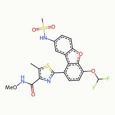 CONC(=O)c1nc(-c2ccc(OC(F)F)c3oc4ccc(NS(C)(=O)=O)cc4c23)sc1C